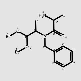 CCOC(OCC)C(C)N(Cc1ccccc1)C(=O)C(C)N